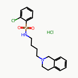 Cl.O=S(=O)(NCCCCN1CCc2ccccc2C1)c1ccccc1Cl